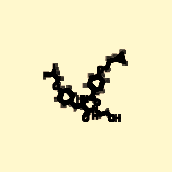 O=C(NCCO)/C(=C/c1ccc(OCC(F)F)cc1)NC(=O)c1ccc(OCCC2CC2)cc1